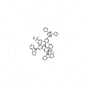 FC(F)(F)c1cccc(-c2cc(-c3cc(-c4ccccc4)nc(-c4ccccc4)n3)cc(-c3cccc(C(F)(F)F)c3)c2-n2c3ccc(-n4c5ccccc5c5ccccc54)cc3c3cc(-n4c5ccccc5c5ccccc54)ccc32)c1